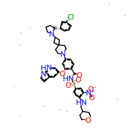 O=C(NS(=O)(=O)c1ccc(NCC2CCOCC2)c([N+](=O)[O-])c1)c1ccc(N2CCC3(CC2)CC(N2CCC[C@@H]2c2cccc(Cl)c2)C3)cc1Oc1cnc2[nH]ccc2c1